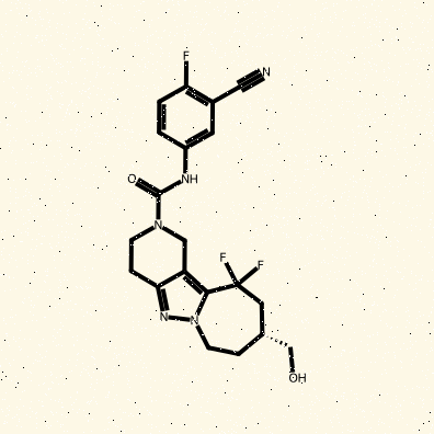 N#Cc1cc(NC(=O)N2CCc3nn4c(c3C2)C(F)(F)C[C@H](CO)CC4)ccc1F